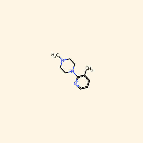 Cc1cccnc1N1CCN(C)CC1